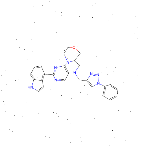 c1ccc(-n2cc(CN3CC4COCCN4c4nc(-c5cccc6[nH]ccc56)ncc43)nn2)cc1